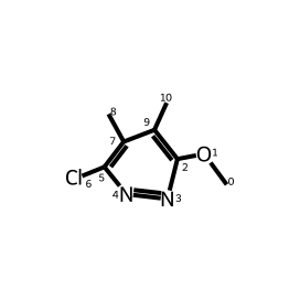 COc1nnc(Cl)c(C)c1C